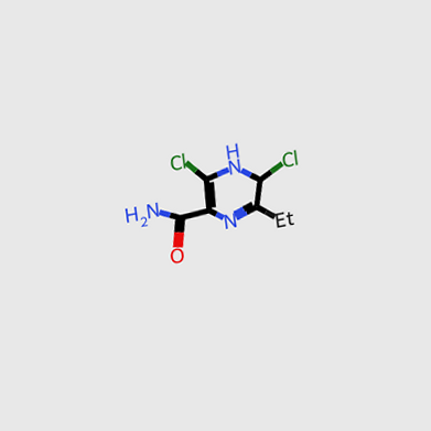 CCC1=NC(C(N)=O)=C(Cl)NC1Cl